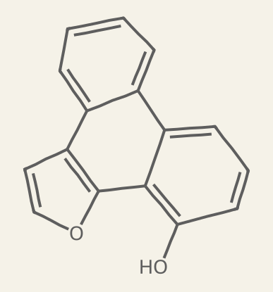 Oc1cccc2c3ccccc3c3ccoc3c12